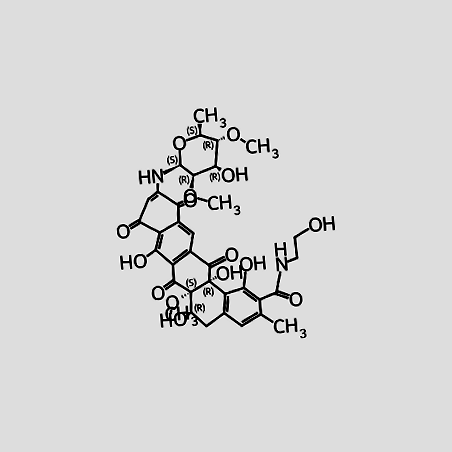 CO[C@@H]1[C@@H](O)[C@@H](OC)[C@@H](NC2=CC(=O)c3c(cc4c(c3O)C(=O)[C@]3(OC)[C@H](O)Cc5cc(C)c(C(=O)NCCO)c(O)c5[C@]3(O)C4=O)C2=O)O[C@H]1C